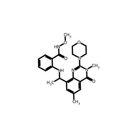 CONC(=O)c1ccccc1NC(C)c1cc(C)cc2c(=O)n(C)c(N3CCOCC3)nc12